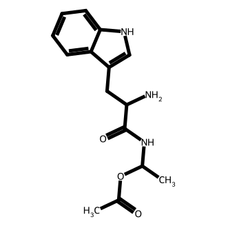 CC(=O)OC(C)NC(=O)C(N)Cc1c[nH]c2ccccc12